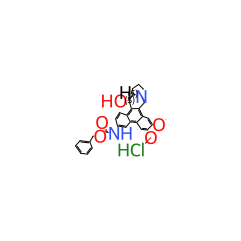 COc1cc2c3c(c4ccc(NC(=O)OCc5ccccc5)cc4c2cc1OC)[C@H](O)[C@@H]1CCCN1C3.Cl